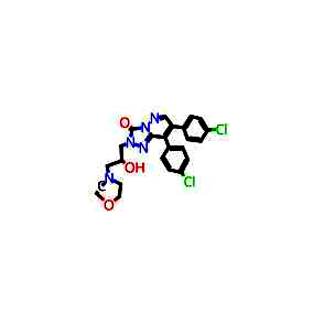 O=c1n(CC(O)CN2CCOCC2)nc2c(-c3ccc(Cl)cc3)c(-c3ccc(Cl)cc3)cnn12